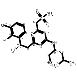 CC(C)C[C@H](CO)Nc1nc(C[C@H](C)c2cccc(Cl)c2F)nc(CS(N)(=O)=O)n1